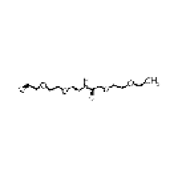 CCOCCOCC(=O)NCCOCCOCC=O